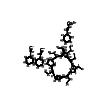 CCC1=Cc2nc1c(CC)c1c(CC)c(CC)c(c(CC)c3nc(c(CC)c4ccc([nH]4)c2CC)C=C3)n1CC.[C-]#Cc1ccccc1.[C-]#Cc1ccccc1.[C-]#Cc1ccccc1.[Ga+3]